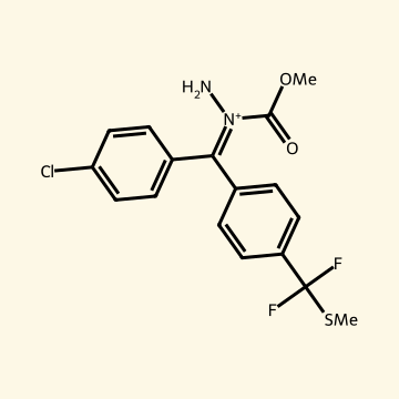 COC(=O)[N+](N)=C(c1ccc(Cl)cc1)c1ccc(C(F)(F)SC)cc1